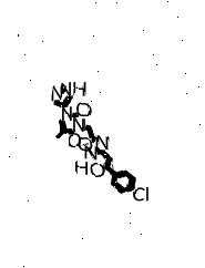 Cc1cn(-c2cn[nH]c2)c(=O)n(Cc2nc(C[C@H](O)c3ccc(Cl)cc3)no2)c1=O